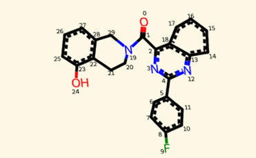 O=C(c1nc(-c2ccc(F)cc2)nc2ccccc12)N1CCc2c(O)cccc2C1